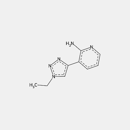 CCn1cc(-c2cccnc2N)nn1